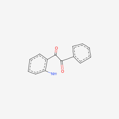 [NH]c1ccccc1C(=O)C(=O)c1ccccc1